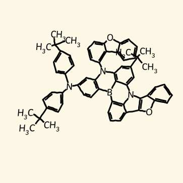 CC(C)(C)c1ccc(N(c2ccc(C(C)(C)C)cc2)c2ccc3c(c2)N(c2cccc4oc5ccccc5c24)c2cc(C(C)(C)C)cc4c2B3c2cccc3c5oc6ccccc6c5n-4c23)cc1